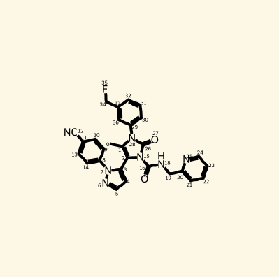 Cc1c(-c2ccnn2-c2ccc(C#N)cc2)n(C(=O)NCc2ccccn2)c(=O)n1-c1cccc(CF)c1